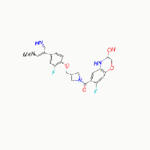 CN/C=C(\C=N)c1ccc(OCC2CN(C(=O)c3cc4c(cc3F)OCC(O)N4)C2)c(F)c1